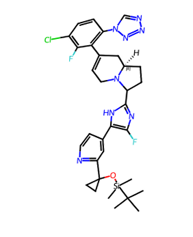 CC(C)(C)[Si](C)(C)OC1(c2cc(-c3[nH]c(C4CC[C@@H]5CC(c6c(-n7cnnn7)ccc(Cl)c6F)=CCN45)nc3F)ccn2)CC1